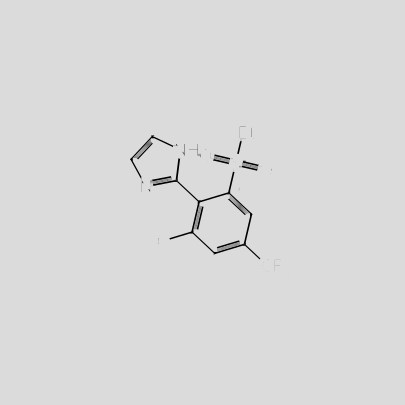 CCS(=O)(=O)c1cc(C(F)(F)F)cc(C(F)(F)F)c1-c1ncc[nH]1